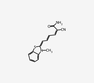 CN1C(=CC=CC=C(C#N)C(N)=O)Sc2ccccc21